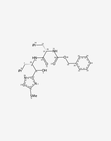 CSc1nc(C(O)[C@H](CC(C)C)NC(=O)[C@H](CC(C)C)NC(=O)OCc2ccccc2)no1